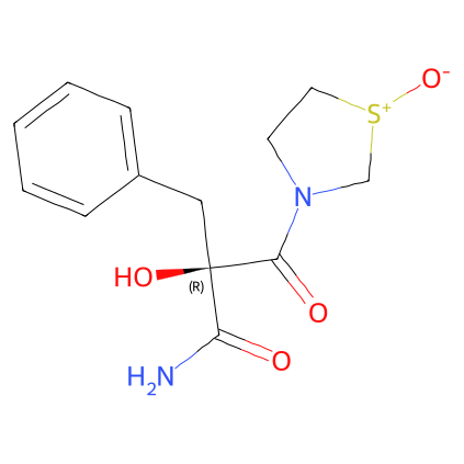 NC(=O)[C@](O)(Cc1ccccc1)C(=O)N1CC[S+]([O-])C1